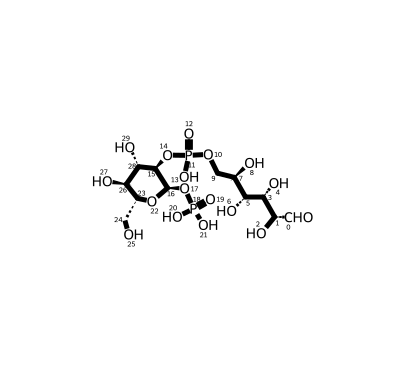 O=C[C@H](O)[C@@H](O)[C@H](O)[C@H](O)COP(=O)(O)O[C@H]1[C@@H](OP(=O)(O)O)O[C@H](CO)[C@@H](O)[C@@H]1O